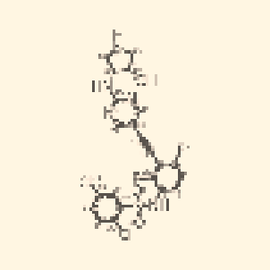 O=S(=O)(Nc1ccc(F)c(C#Cc2cnc(N[C@@H]3CNC[C@H]3O)nc2)c1F)c1cc(Cl)ccc1Cl